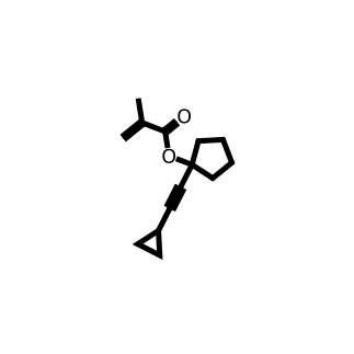 C=C(C)C(=O)OC1(C#CC2CC2)CCCC1